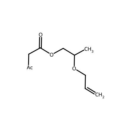 C=CCOC(C)COC(=O)CC(C)=O